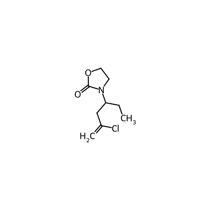 C=C(Cl)CC(CC)N1CCOC1=O